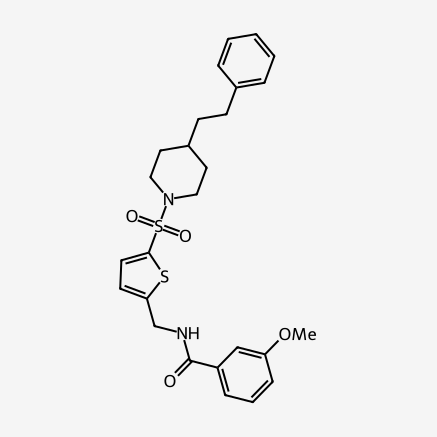 COc1cccc(C(=O)NCc2ccc(S(=O)(=O)N3CCC(CCc4ccccc4)CC3)s2)c1